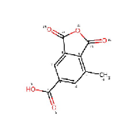 Cc1cc(C(=O)O)cc2c1C(=O)OC2=O